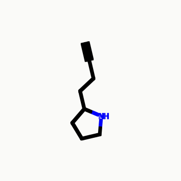 [C]#CCCC1CCCN1